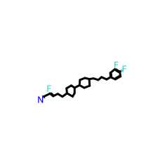 N#CC(F)=CCCC1CCC(C2CCC(CCCCc3ccc(F)c(F)c3)CC2)CC1